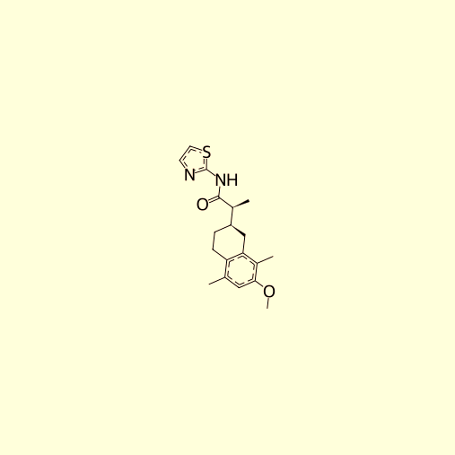 COc1cc(C)c2c(c1C)C[C@H]([C@H](C)C(=O)Nc1nccs1)CC2